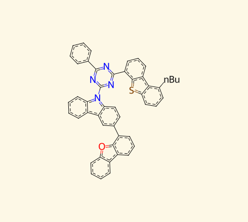 CCCCc1cccc2sc3c(-c4nc(-c5ccccc5)nc(-n5c6ccccc6c6cc(-c7cccc8c7oc7ccccc78)ccc65)n4)cccc3c12